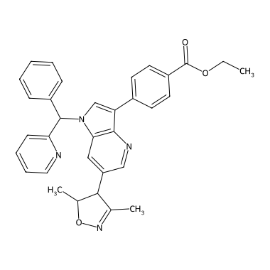 CCOC(=O)c1ccc(-c2cn(C(c3ccccc3)c3ccccn3)c3cc(C4C(C)=NOC4C)cnc23)cc1